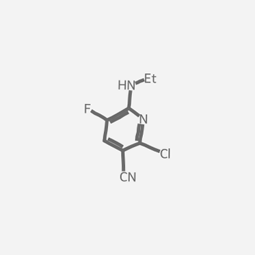 CCNc1nc(Cl)c(C#N)cc1F